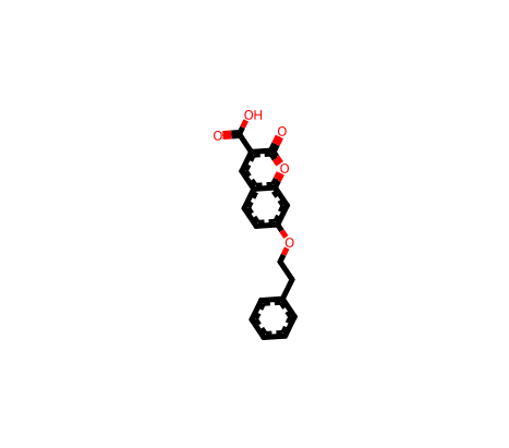 O=C(O)c1cc2ccc(OCCc3ccccc3)cc2oc1=O